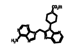 CCOC(=O)N1CCC(n2c(Cn3cnc4c(N)ncnc43)nc3cccnc32)CC1